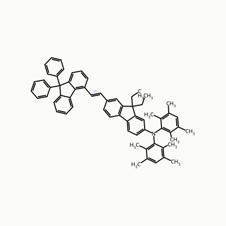 CCC1(CC)c2cc(/C=C/c3cccc4c3-c3ccccc3C4(c3ccccc3)c3ccccc3)ccc2-c2ccc(N(c3c(C)c(C)cc(C)c3C)c3c(C)c(C)cc(C)c3C)cc21